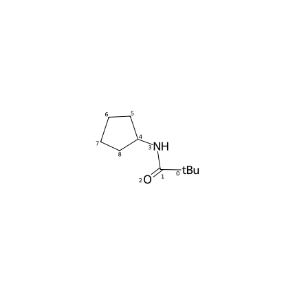 CC(C)(C)C(=O)NC1CCCC1